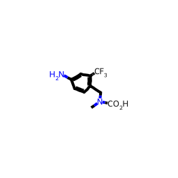 CN(Cc1ccc(N)cc1C(F)(F)F)C(=O)O